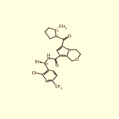 CC[C@@H](NC(=O)c1cc(C(=O)N2CCC[C@@H]2C)n2c1COCC2)c1ccc(C(F)(F)F)nc1Cl